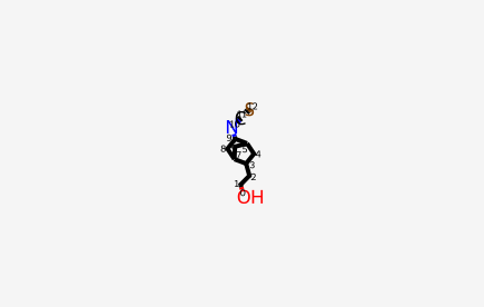 OCCC1CC2CC1CC2N=C=S